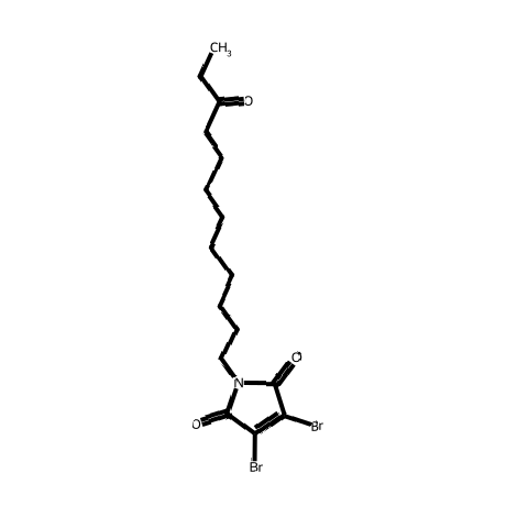 CCC(=O)CCCCCCCCCN1C(=O)C(Br)=C(Br)C1=O